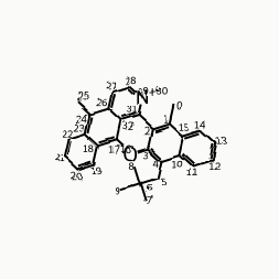 Cc1c2c(c(CC(C)(C)C)c3ccccc13)Oc1c3ccccc3c(C)c3cc[n+](C)c-2c13